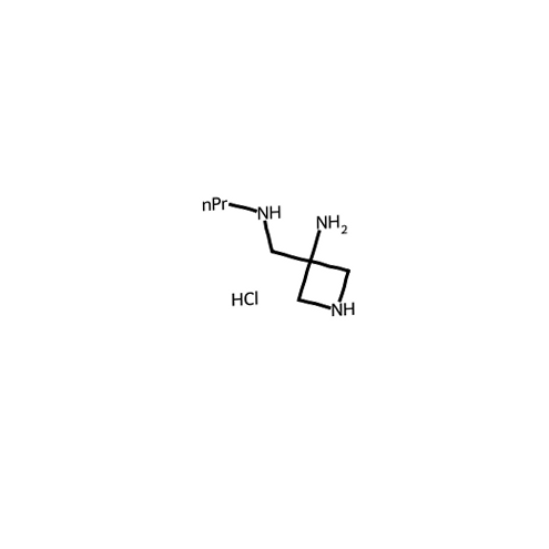 CCCNCC1(N)CNC1.Cl